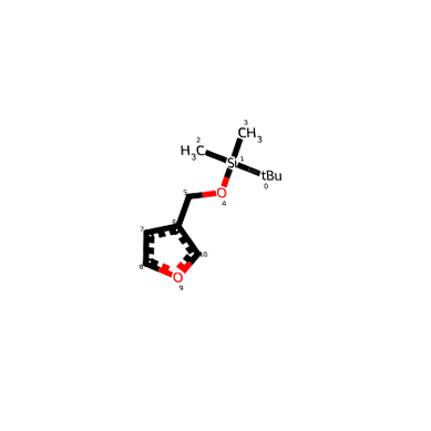 CC(C)(C)[Si](C)(C)OCc1ccoc1